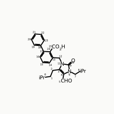 CC(C)CCc1c(C=O)n(CC(C)C)c(=O)n1Cc1cccc(-c2ccccc2)c1C(=O)O